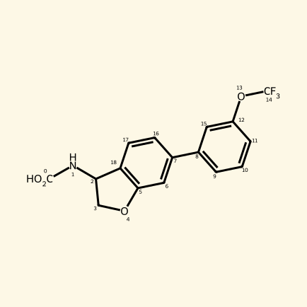 O=C(O)NC1COc2cc(-c3cccc(OC(F)(F)F)c3)ccc21